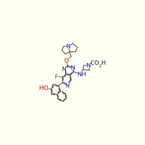 O=C(O)N1CC(Nc2nc(OCC34CCCN3CCC4)nc3c(F)c(-c4cc(O)cc5ccccc45)ncc23)C1